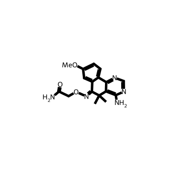 COc1ccc2c(c1)/C(=N\OCC(N)=O)C(C)(C)c1c(N)ncnc1-2